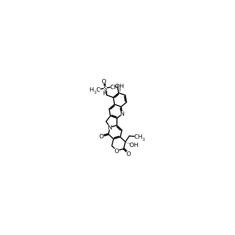 CC[C@@]1(O)C(=O)OCc2c1cc1n(c2=O)Cc2cc3c(C[SH](C)(C)=O)c(O)ccc3nc2-1